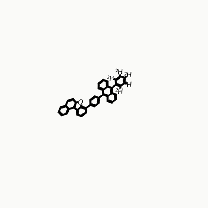 [2H]c1c([2H])c([2H])c(-c2c3ccccc3c(-c3ccc(-c4cccc5c4oc4ccc6ccccc6c45)cc3)c3ccccc23)c([2H])c1[2H]